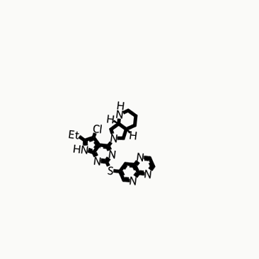 CCc1[nH]c2nc(Sc3cnc4nccnc4c3)nc(N3C[C@H]4CCCN[C@H]4C3)c2c1Cl